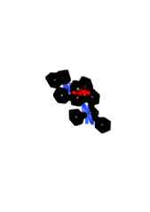 C1=CC(c2nc(-c3ccccc3)cc(-c3cccc4oc5cc(-c6ccccc6N(c6ccc7ccccc7c6)c6cccc7ccccc67)ccc5c34)n2)=CCC1